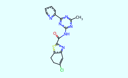 Cc1nc(NC(=O)c2nc3c(s2)CCC(Cl)=C3)nc(-c2ccccn2)n1